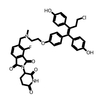 CN(CCOc1ccc(C(=C(CCCl)c2ccc(O)cc2)c2ccc(O)cc2)cc1)Cc1ccc2c(c1F)C(=O)N(C1CCC(=O)NC1=O)C2=O